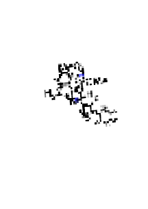 CO/N=C(/C(=O)OC)c1cccc(C)c1CO/N=C(\C)c1cc(-c2ccccc2)sn1